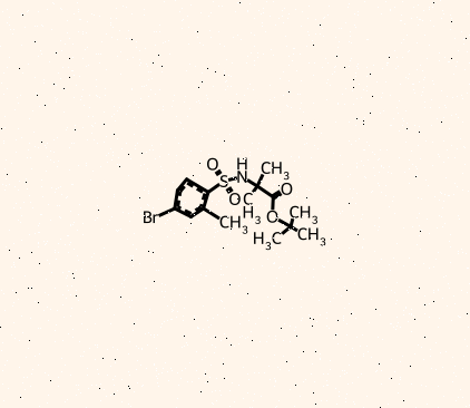 Cc1cc(Br)ccc1S(=O)(=O)NC(C)(C)C(=O)OC(C)(C)C